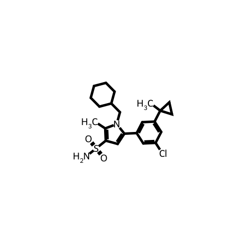 Cc1c(S(N)(=O)=O)cc(-c2cc(Cl)cc(C3(C)CC3)c2)n1CC1CCCCC1